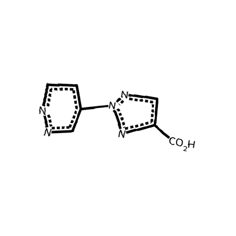 O=C(O)c1cnn(-c2ccnnc2)n1